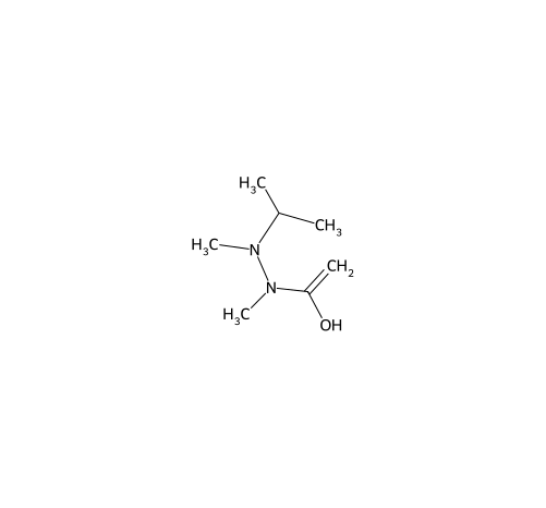 C=C(O)N(C)N(C)C(C)C